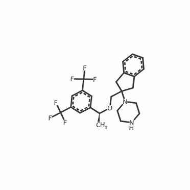 C[C@H](OCC1(N2CCNCC2)Cc2ccccc2C1)c1cc(C(F)(F)F)cc(C(F)(F)F)c1